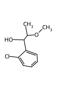 COC(C)C(O)c1ccccc1Cl